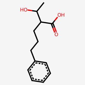 CC(O)C(CCCc1ccccc1)C(=O)O